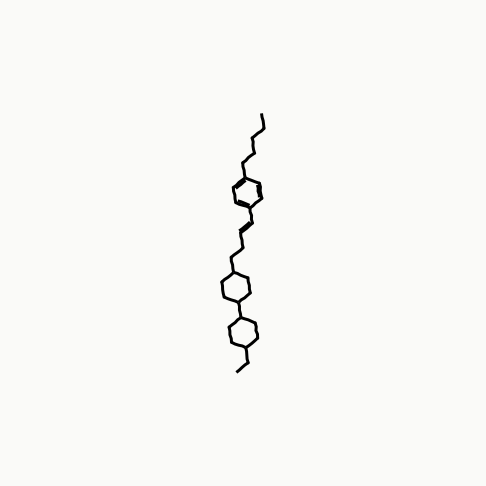 CCCCCc1ccc(C=CCCC2CCC(C3CCC(CC)CC3)CC2)cc1